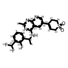 Cc1nc(NC(C)c2cccc(C(F)F)c2F)c2cc(C3=CCS(=O)(=O)CC3)cnc2n1